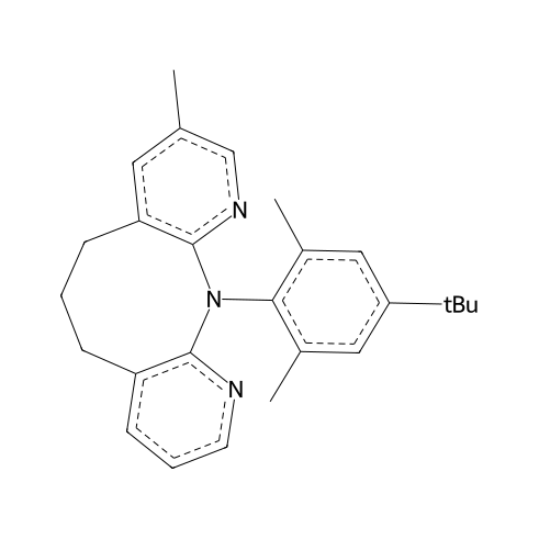 Cc1cnc2c(c1)CCCc1cccnc1N2c1c(C)cc(C(C)(C)C)cc1C